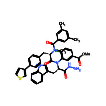 COC(=O)c1ccc(Cl)c(N(C(=O)[C@H](Cc2ccc(-c3ccsc3)cc2)N(C)C(=O)c2cc(C)cc(C)c2)[C@@H](Cc2c[nH]c3ccccc23)C(=O)NN)c1